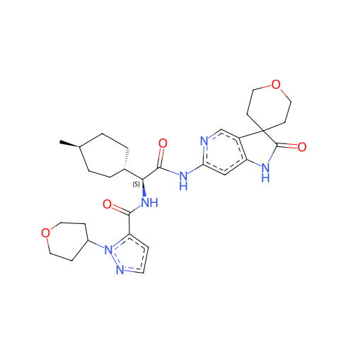 C[C@H]1CC[C@H]([C@H](NC(=O)c2ccnn2C2CCOCC2)C(=O)Nc2cc3c(cn2)C2(CCOCC2)C(=O)N3)CC1